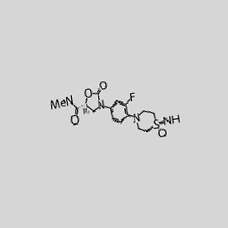 CNC(=O)[C@H]1CN(c2ccc(N3CCS(=N)(=O)CC3)c(F)c2)C(=O)O1